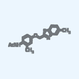 CC(=O)Nc1ccc(OCc2nc3cc(C)ccc3s2)cc1C